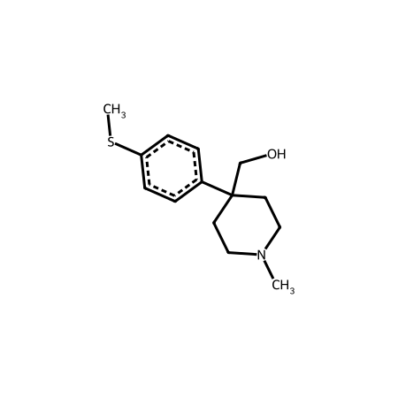 CSc1ccc(C2(CO)CCN(C)CC2)cc1